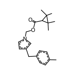 Cc1ccc(Cc2ccn(COC(=O)C3C(C)(C)C3(C)C)c2)cc1